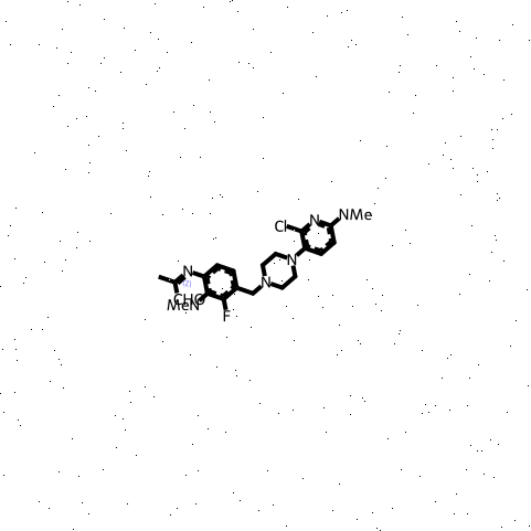 CNc1ccc(N2CCN(Cc3ccc(/N=C(/C)C=O)c(NC)c3F)CC2)c(Cl)n1